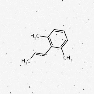 C/C=[C]/c1c(C)cccc1C